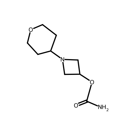 NC(=O)OC1CN(C2CCOCC2)C1